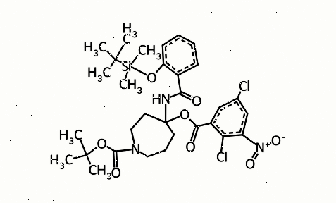 CC(C)(C)OC(=O)N1CCCC(NC(=O)c2ccccc2O[Si](C)(C)C(C)(C)C)(OC(=O)c2cc(Cl)cc([N+](=O)[O-])c2Cl)CC1